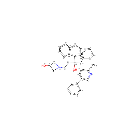 COc1ncc(-c2ccccc2)cc1C(c1ccccc1)C(O)(CCN1CC(O)C1)c1cccc2ccccc12